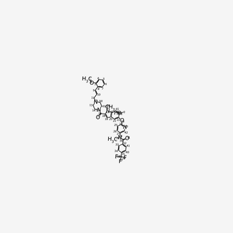 Br.COc1ccccc1C=CCN1CCN(C(=O)c2cc3cc(Oc4ccc(N(C)C(=O)c5ccc(C(F)(F)F)cc5)cn4)ccc3n2C)CC1